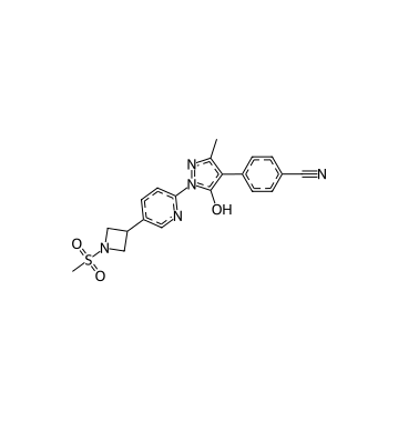 Cc1nn(-c2ccc(C3CN(S(C)(=O)=O)C3)cn2)c(O)c1-c1ccc(C#N)cc1